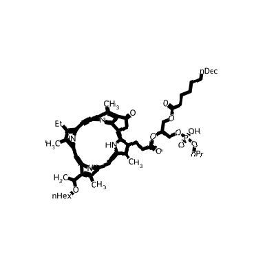 CCCCCCCCCCCCCCCC(=O)OCC(COP(=O)(O)OCCC)OC(=O)CCC1c2[nH]c(cc3nc(cc4[nH]c(cc5nc6c2CC(=O)C6=C5C)c(CC)c4C)C(C(C)OCCCCCC)=C3C)C1C